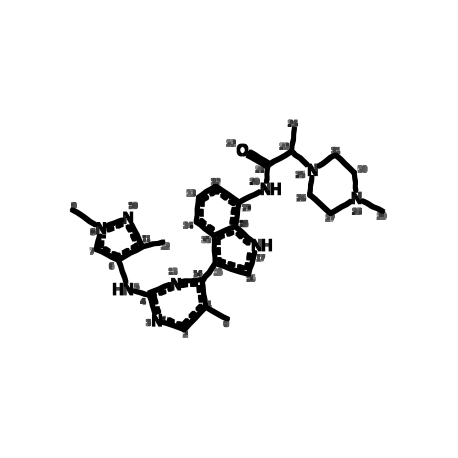 Cc1cnc(Nc2cn(C)nc2C)nc1-c1c[nH]c2c(NC(=O)C(C)N3CCN(C)CC3)cccc12